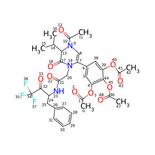 CC(=O)Oc1cc(C2=CN(C(C)=O)C(C(C)C)C(=O)N2CC(=O)NC(Cc2ccccc2)C(=O)C(F)(F)F)cc(OC(C)=O)c1OC(C)=O